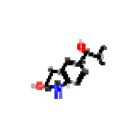 CC(C)C(=O)c1ccc2c(c1)CC(=O)N2